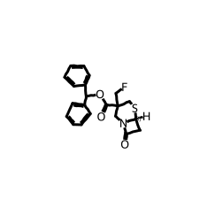 O=C1C[C@H]2SCC(CF)(C(=O)OC(c3ccccc3)c3ccccc3)CN12